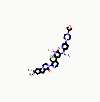 COCc1c(-c2cc(N(C)c3ccc(N4CCN(C5COC5)CC4)cn3)c(=O)n(C)c2)ccnc1-n1ccn2c3c(cc2c1=O)CC(C)(C)C3